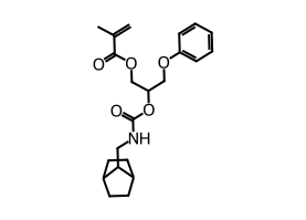 C=C(C)C(=O)OCC(COc1ccccc1)OC(=O)NCC1C2CCC1CC2